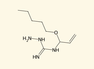 C=CC(NC(=N)NN)OCCCCC